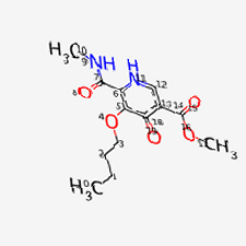 CCCCOc1c(C(=O)NC)[nH]cc(C(=O)OC)c1=O